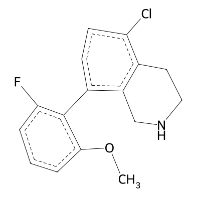 COc1cccc(F)c1-c1ccc(Cl)c2c1CNCC2